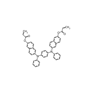 C=CC(=O)Oc1ccc2cc(N(c3ccccc3)c3ccc(N(c4ccccc4)c4ccc5cc(OC(=O)C=C)ccc5c4)cc3)ccc2c1